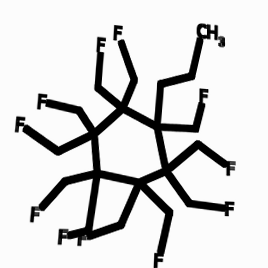 CCCC1(CF)C(CF)(CF)C(CF)(CF)C(CF)(CF)C(CF)(CF)C1(CF)CF